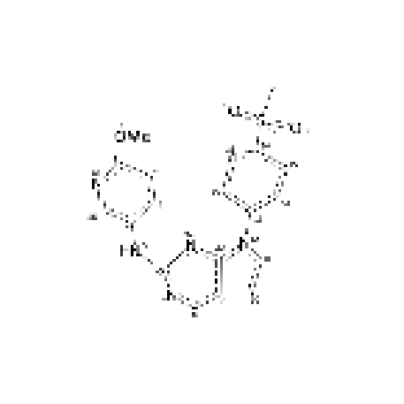 COc1ccc(Nc2ncc3ccn(-c4ccc(S(C)(=O)=O)cc4)c3n2)cn1